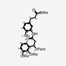 CCCCCC(CC(=O)Nc1cc(CCC(=O)NC)ccc1C(C)(C)C)c1cccc(OC)c1OC